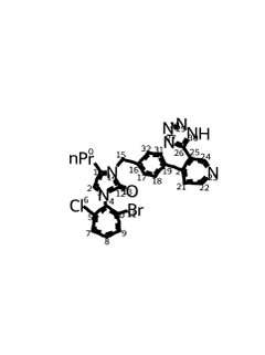 CCCc1cn(-c2c(Cl)cccc2Br)c(=O)n1Cc1ccc(-c2ccncc2-c2nnn[nH]2)cc1